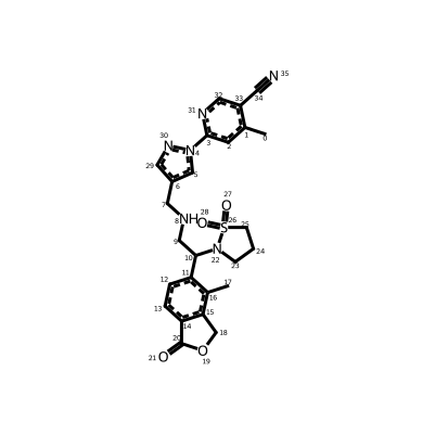 Cc1cc(-n2cc(CNCC(c3ccc4c(c3C)COC4=O)N3CCCS3(=O)=O)cn2)ncc1C#N